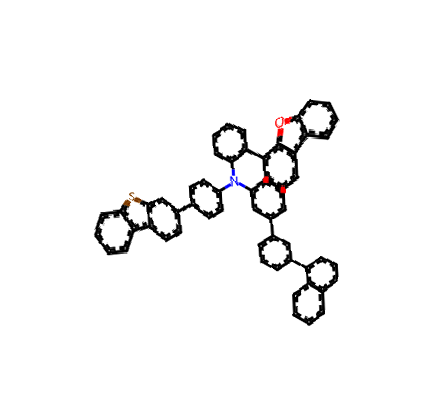 c1cc(-c2cccc(N(c3ccc(-c4ccc5c(c4)sc4ccccc45)cc3)c3ccccc3-c3cccc4c3oc3ccccc34)c2)cc(-c2cccc3ccccc23)c1